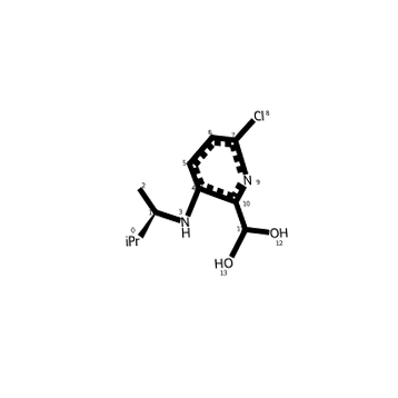 CC(C)[C@@H](C)Nc1ccc(Cl)nc1C(O)O